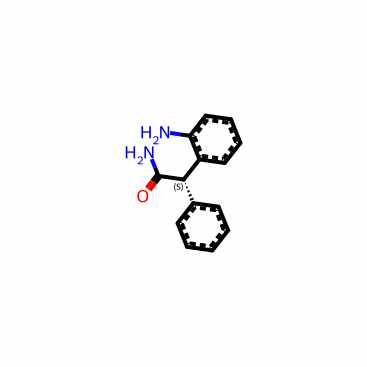 NC(=O)[C@@H](c1ccccc1)c1ccccc1N